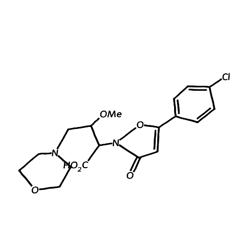 COC(CN1CCOCC1)C(C(=O)O)n1oc(-c2ccc(Cl)cc2)cc1=O